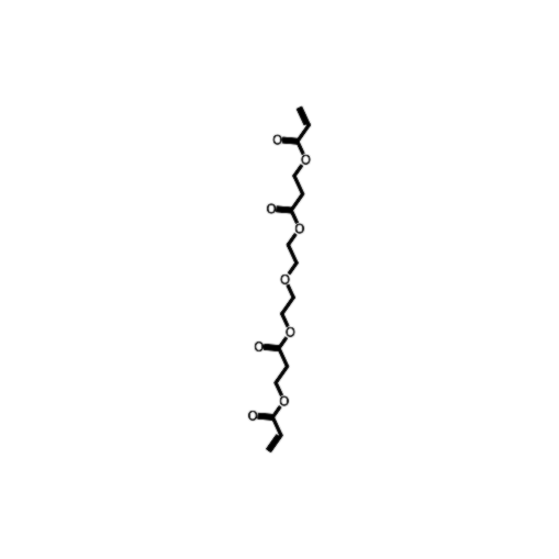 C=CC(=O)OCCC(=O)OCCOCCOC(=O)CCOC(=O)C=C